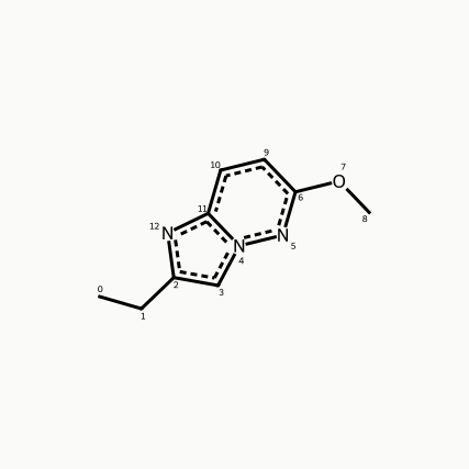 CCc1cn2nc(OC)ccc2n1